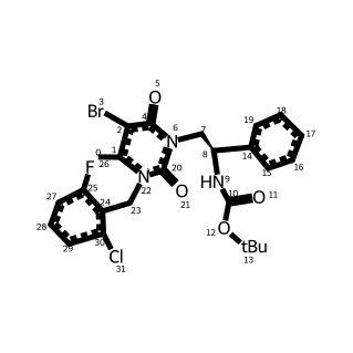 Cc1c(Br)c(=O)n(C[C@H](NC(=O)OC(C)(C)C)c2ccccc2)c(=O)n1Cc1c(F)cccc1Cl